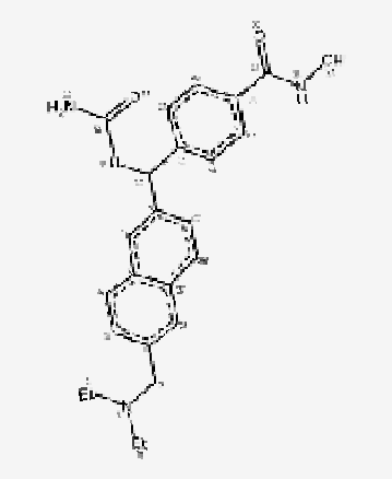 CCN(CC)Cc1ccc2cc(C(OC(N)=O)c3ccc(C(=O)NO)cc3)ccc2c1